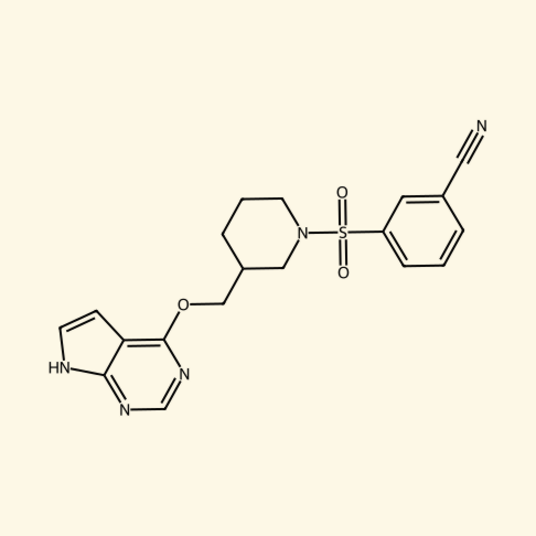 N#Cc1cccc(S(=O)(=O)N2CCCC(COc3ncnc4[nH]ccc34)C2)c1